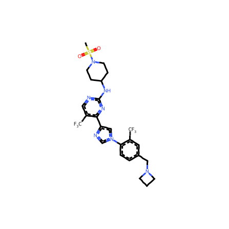 CS(=O)(=O)N1CCC(Nc2ncc(C(F)(F)F)c(-c3cn(-c4ccc(CN5CCC5)cc4C(F)(F)F)cn3)n2)CC1